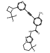 Cc1ccc(C(=O)Nc2cc3n(n2)CCCC3(F)F)cc1C#Cc1cncc(N2CCC2C(F)(F)F)c1